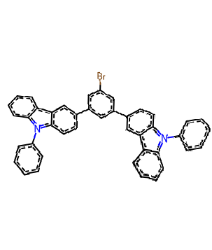 Brc1cc(-c2ccc3c(c2)c2ccccc2n3-c2ccccc2)cc(-c2ccc3c(c2)c2ccccc2n3-c2ccccc2)c1